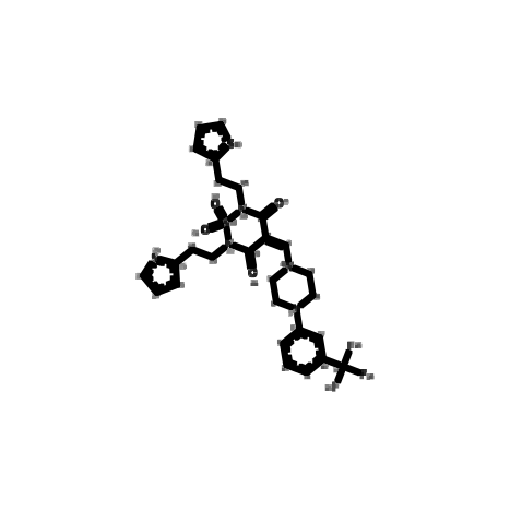 O=C1C(=CN2CCN(c3cccc(C(F)(F)F)c3)CC2)C(=O)N(CCc2cccs2)S(=O)(=O)N1CCc1cccs1